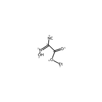 [C-]#[N+]/C(=N/O)C(=O)OCC